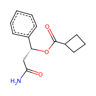 NC(=O)C[C@@H](OC(=O)C1CCC1)c1ccccc1